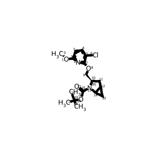 COc1ccc(Cl)c(OC[C@H]2CC3CC3N2C(=O)OC(C)(C)C)n1